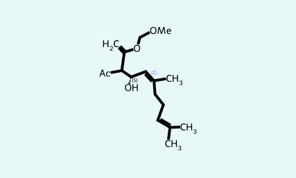 C=C(OCOC)C(C(C)=O)[C@@H](O)/C=C(/C)CCC=C(C)C